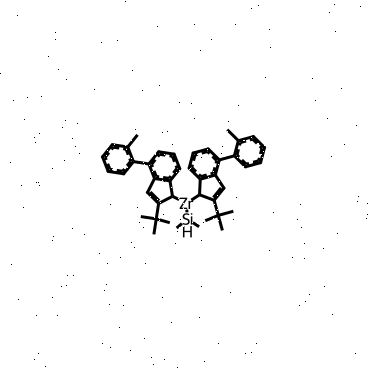 Cc1ccccc1-c1cccc2c1C=C(C(C)(C)C)[CH]2[Zr]([CH]1C(C(C)(C)C)=Cc2c(-c3ccccc3C)cccc21)[SiH](C)C